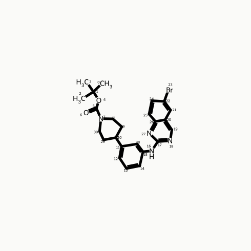 CC(C)(C)OC(=O)N1CCC(c2cccc(Nc3ncc4cc(Br)ccc4n3)c2)CC1